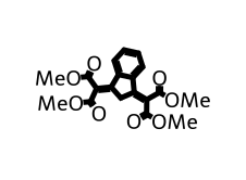 COC(=O)C(C(=O)OC)=C1CC(=C(C(=O)OC)C(=O)OC)c2ccccc21